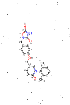 Cc1cccc(C)c1-n1cc(COc2ccc(Cn3oc(=O)[nH]c3=O)cc2)ccc1=O